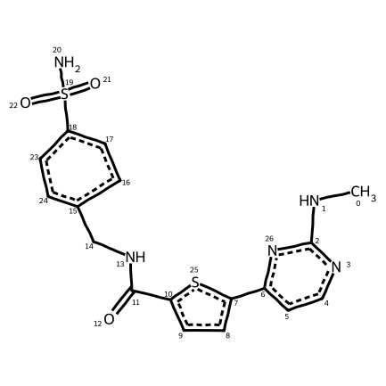 CNc1nccc(-c2ccc(C(=O)NCc3ccc(S(N)(=O)=O)cc3)s2)n1